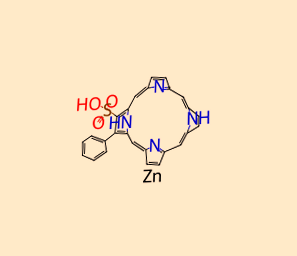 O=S(=O)(O)c1c(-c2ccccc2)c2cc3nc(cc4ccc(cc5nc(cc1[nH]2)C=C5)[nH]4)C=C3.[Zn]